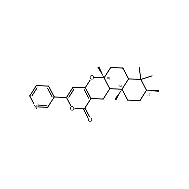 C[C@H]1CC[C@@]2(C)C(CC[C@@]3(C)Oc4cc(-c5cccnc5)oc(=O)c4CC23)C1(C)C